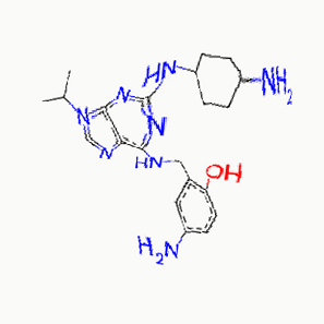 CC(C)n1cnc2c(NCc3cc(N)ccc3O)nc(NC3CCC(N)CC3)nc21